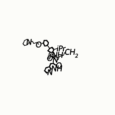 C=CCCCN(C(=O)Nc1c(C(C)C)cc(-c2cccc(OCCCN3CCCCC3)c2)cc1C(C)C)c1cc2cccnc2[nH]c1=O